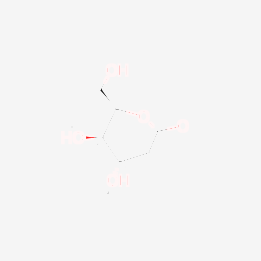 [O]C1C[C@H](O)[C@@H](O)[C@@H](CO)O1